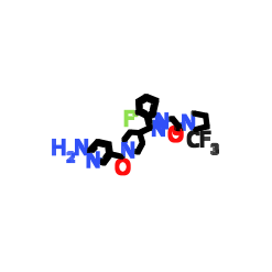 Nc1ccc(C(=O)N2CCC(c3nn(CC(=O)N4CCC[C@H]4C(F)(F)F)c4cccc(F)c34)CC2)cn1